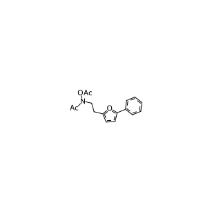 CC(=O)ON(CCc1ccc(-c2ccccc2)o1)C(C)=O